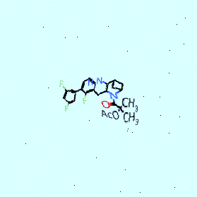 CC(=O)OC(C)(C)C(=O)N1C2CC(C2)C(N)C1Cc1cccc(-c2cc(F)cc(F)c2)c1F